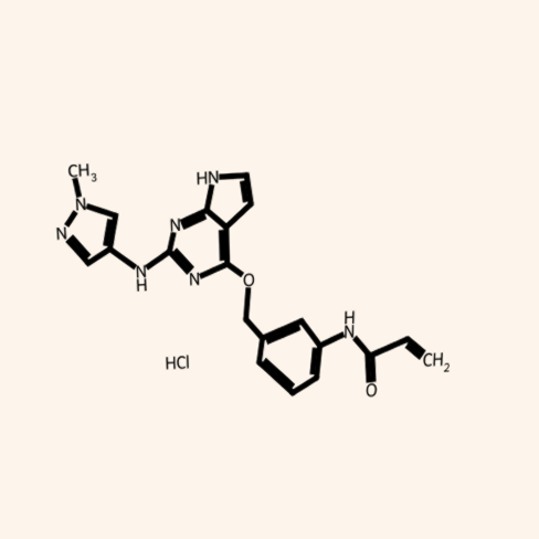 C=CC(=O)Nc1cccc(COc2nc(Nc3cnn(C)c3)nc3[nH]ccc23)c1.Cl